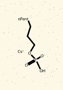 CCCCCCCCOP(=O)([O-])O.[Cs+]